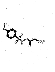 O=C(O)CC(=O)ONS(=O)(=O)c1ccc(OC(F)(F)F)cc1